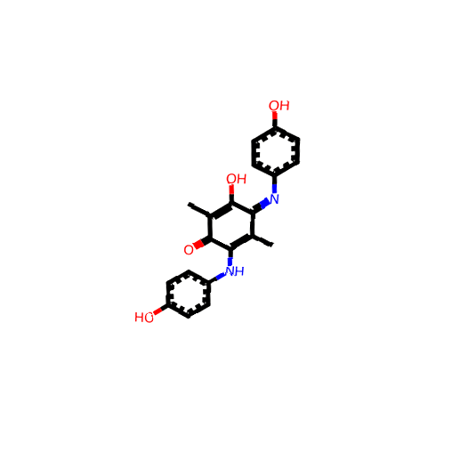 CC1=C(O)/C(=N\c2ccc(O)cc2)C(C)=C(Nc2ccc(O)cc2)C1=O